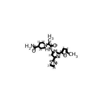 Cc1ccc(-c2nc(NC(=O)C(C)N3CCC(C(N)=O)CC3)cc(-c3nccs3)n2)o1